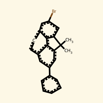 CC1(C)c2cc(Br)cc3ccc4cc(-c5ccccc5)cc1c4c23